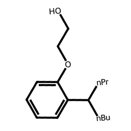 CCCCC(CCC)c1ccccc1OCCO